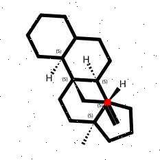 C=CC[C@]12CC[C@]3(C)CCC[C@H]3[C@@H]1CCC1CCCC[C@@H]12